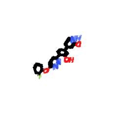 O=c1cc(-c2ccc(-c3ccc(O[C@@H]4CCCC[C@@H]4F)nn3)c(O)c2)cc[nH]1